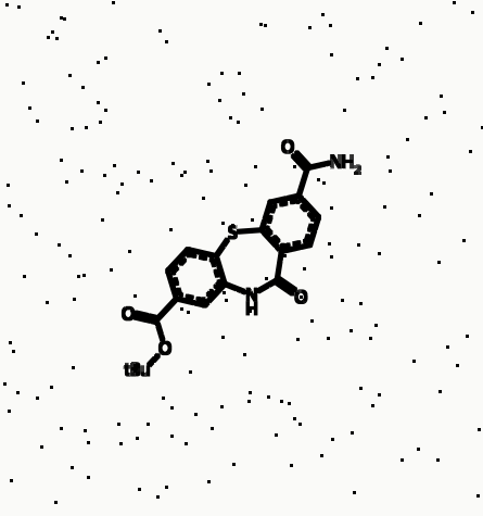 CC(C)(C)OC(=O)c1ccc2c(c1)NC(=O)c1ccc(C(N)=O)cc1S2